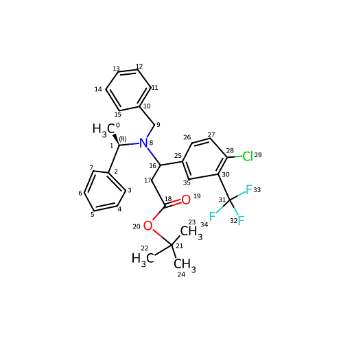 C[C@H](c1ccccc1)N(Cc1ccccc1)C(CC(=O)OC(C)(C)C)c1ccc(Cl)c(C(F)(F)F)c1